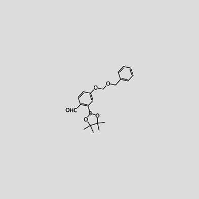 CC1(C)OB(c2cc(OCOCc3ccccc3)ccc2C=O)OC1(C)C